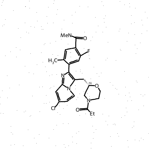 CCC(=O)N1CCO[C@@H](Cc2c(-c3cc(F)c(C(=O)NC)cc3C)nc3cc(Cl)ccn23)C1